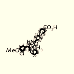 COc1ccc(-c2nc(NC(=O)c3cnc(N4CCC(C(=O)O)CC4)cn3)sc2CN2CCCCC2C)cc1Cl